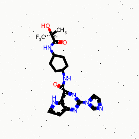 C[C@](O)(C(=O)NC1CCC(NC(=O)c2nc(-n3ccnc3)nc3cc[nH]c23)CC1)C(F)(F)F